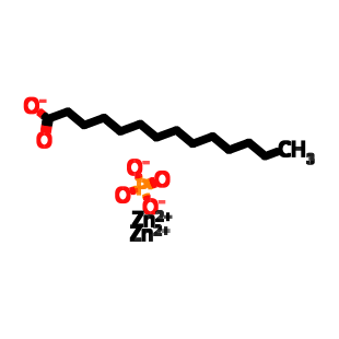 CCCCCCCCCCCCCC(=O)[O-].O=P([O-])([O-])[O-].[Zn+2].[Zn+2]